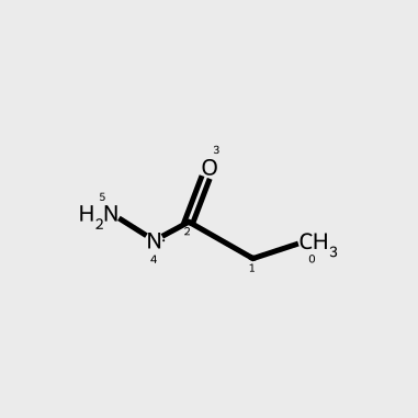 CCC(=O)[N]N